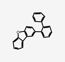 [c]1c(-c2ccccc2-c2ccccc2)ccc2oc3ccccc3c12